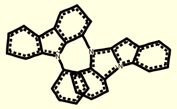 c1ccc(-n2c3ccccc3c3cccc(-n4c5ccccc5n5c6ccccc6cc45)c32)cc1